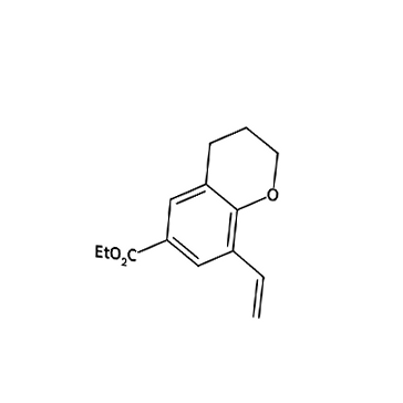 C=Cc1cc(C(=O)OCC)cc2c1OCCC2